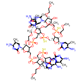 C=C1NC(=O)C(C)=CN1[C@@H]1O[C@H](COP(=O)(S)OC2[C@@H](COP(=O)(S)OC3[C@@H](COP(=O)(O)OC4[C@@H](COP(=O)(O)OC5[C@@H](COP(=O)(S)OC6C[C@H](n7cc(C)c(N)nc7=O)O[C@@H]6CC)O[C@@H](n6cnc7c(N)ncnc76)[C@H]5OCCOC)O[C@@H](n5cc(C)c(N)nc5=O)[C@H]4OCCOC)O[C@@H](n4cc(C)c(N)nc4=O)[C@H]3OCCOC)O[C@@H](n3cc(C)c(N)nc3=O)[C@H]2OCCOC)C(O)[C@@H]1OCCOC